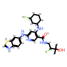 CC(C)(O)C(F)CNC(=O)c1cnc(Nc2ccc3ncsc3c2)cc1NC1CCCC(F)C1